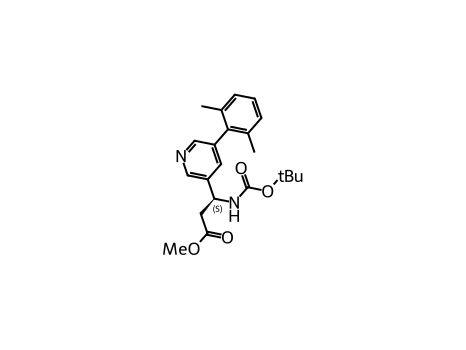 COC(=O)C[C@H](NC(=O)OC(C)(C)C)c1cncc(-c2c(C)cccc2C)c1